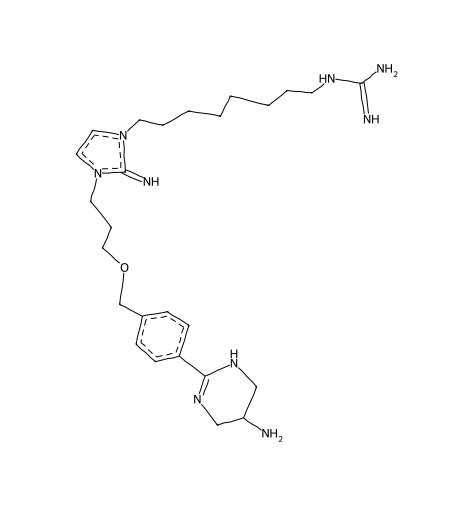 N=C(N)NCCCCCCCCn1ccn(CCCOCc2ccc(C3=NCC(N)CN3)cc2)c1=N